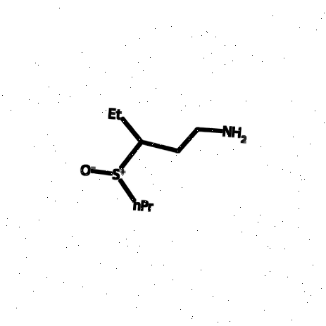 CCC[S+]([O-])C(CC)CCN